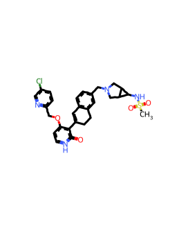 CS(=O)(=O)NC1C2CN(Cc3ccc4c(c3)CCC(c3c(OCc5ccc(Cl)cn5)cc[nH]c3=O)=C4)CC21